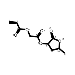 C=CC(=O)OCC(=O)OC1CC(C)OC1=O